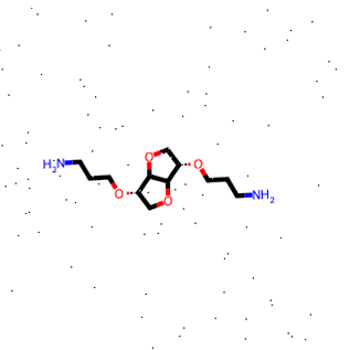 NCCCO[C@H]1COC2C1OC[C@@H]2OCCCN